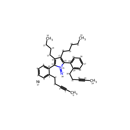 CC#CCCc1ccccc1C1=C(CCCC)C(CCCCC)=C(c2ccccc2CCC#CC)[N+]1=[N-].[Ni]